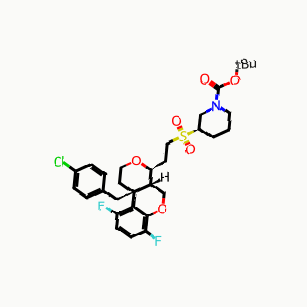 CC(C)(C)OC(=O)N1CCC[C@@H](S(=O)(=O)CC[C@@H]2OCC[C@@]3(Cc4ccc(Cl)cc4)c4c(F)ccc(F)c4OC[C@@H]23)C1